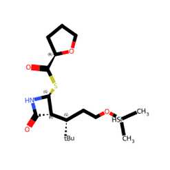 C[SiH](C)OCC[C@@H]([C@@H]1C(=O)N[C@H]1SC(=O)[C@H]1CCCO1)C(C)(C)C